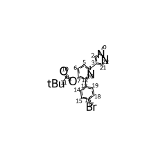 Cn1cc(-c2ccc(OC(=O)C(C)(C)C)c(-c3ccc(Br)cc3)n2)cn1